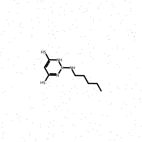 CCCCCNN1N=C(S)C=C(S)N1